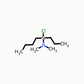 CCCC[Si](Cl)(CCC)N(C)C